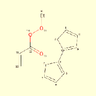 C1=CCC(C2=CC=CC2)=C1.C=CC(=O)OOCC